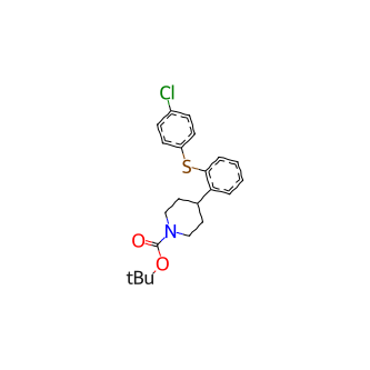 CC(C)(C)OC(=O)N1CCC(c2ccccc2Sc2ccc(Cl)cc2)CC1